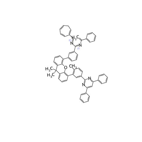 C=C(/N=C(\N=C\C1=CCC=CC=C1)c1cccc(-c2cccc3c2Oc2c(-c4cc(-c5nc(-c6ccccc6)cc(-c6ccccc6)n5)ccc4C)cccc2C3(C)C)c1)c1ccccc1